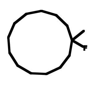 CC1(F)CCCCCCCCCCCC1